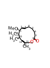 CO[C@H]1/C=C/CCCCC(=O)OC/C(C)=C\[C@@H](C)[C@@H]1C